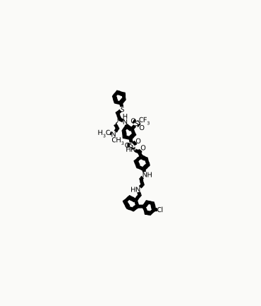 CN(C)CC[C@H](CSc1ccccc1)Nc1ccc(S(=O)(=O)NC(=O)c2ccc(NCCNCc3ccccc3-c3ccc(Cl)cc3)cc2)cc1S(=O)(=O)C(F)(F)F